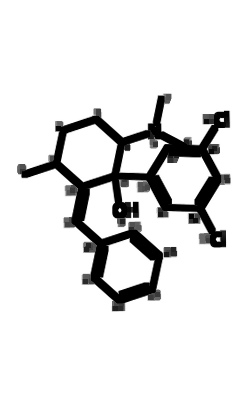 CC1CCC(N(C)C)C(O)(c2cc(Cl)cc(Cl)c2)C1=Cc1ccccc1